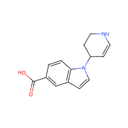 O=C(O)c1ccc2c(ccn2C2C=CNCC2)c1